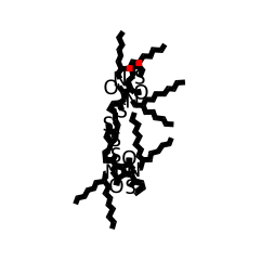 CCCCCCCCC(CCCCCC)CN1C(=O)C2=C(c3ccc(-c4cc5sc(-c6ccc(C7=C8C(=O)N(CC(CCCCCC)CCCCCCCC)C(c9cccs9)=C8C(=O)N7CC(CCCCCC)CCCCCCCC)s6)cc5s4)s3)N(CC(CCCCCC)CCCCCCCC)C(=O)C2=C1c1cccs1